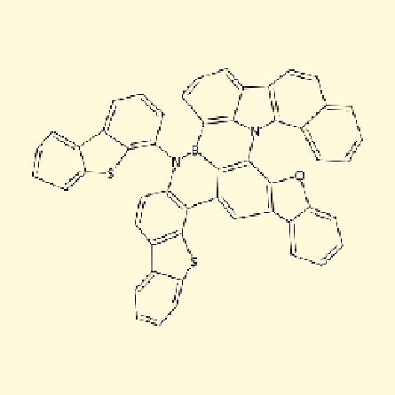 c1ccc2c(c1)ccc1c3cccc4c3n(c21)-c1c2c(cc3c1oc1ccccc13)-c1c(ccc3c1sc1ccccc13)N(c1cccc3c1sc1ccccc13)B24